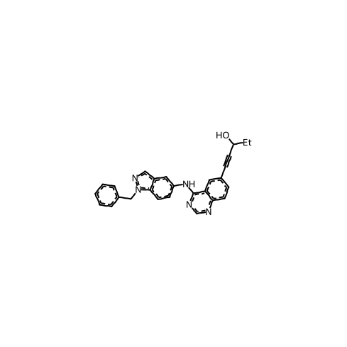 CCC(O)C#Cc1ccc2ncnc(Nc3ccc4c(cnn4Cc4ccccc4)c3)c2c1